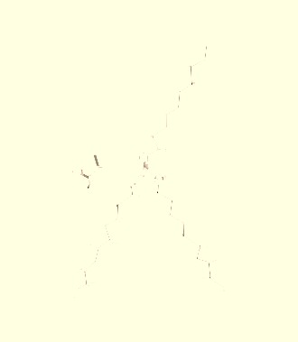 C=CC(=O)[O-].CCCCCCCCCC[O][Zr+]([O]CCCCCCCCCC)[O]CCCCCCCCCC